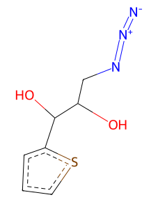 [N-]=[N+]=NCC(O)C(O)c1cccs1